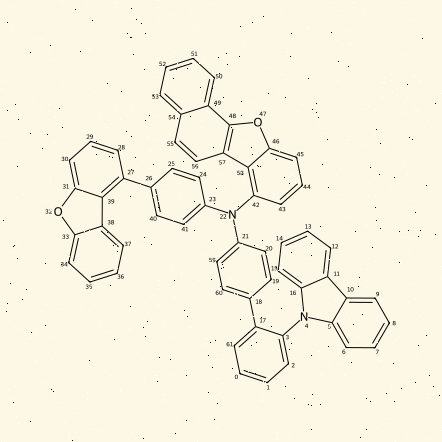 c1ccc(-n2c3ccccc3c3ccccc32)c(-c2ccc(N(c3ccc(-c4cccc5oc6ccccc6c45)cc3)c3cccc4oc5c6ccccc6ccc5c34)cc2)c1